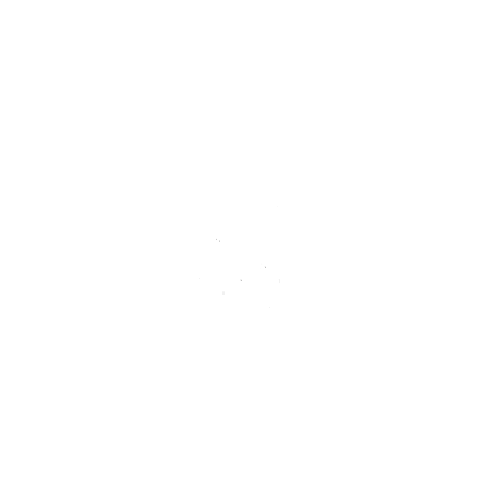 CCOC(=O)C1(C)OC2(O)C3CCCN3C(=O)C(Cc3ccccc3)N2C1=O